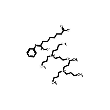 CCC[CH2][Sn+]([CH2]CCC)[CH2]CCC.CCC[CH2][Sn+]([CH2]CCC)[CH2]CCC.O=C([O-])CCCCCCC(=Nc1ccccc1)N[O-]